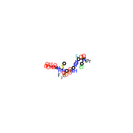 Cc1c(S(C)(=O)=O)c(-c2cc(F)cc(N3CCN(c4ccc(NS(=O)(=O)c5ccc(NC(CCN6CC(C)(C(=O)OCCCP(=O)(O)O)C6)CSc6ccccc6)c(S(=O)(=O)C(F)(F)F)c5)cc4)CC3)c2)c(-c2ccc(Cl)cc2)n1C(C)C